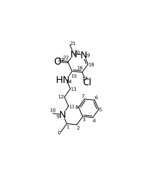 CC(Cc1ccccc1)N(C)CCCNc1c(Cl)cnn(C)c1=O